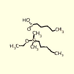 CCCCCS(=O)O.CCCCC[Si](C)(C)OCC